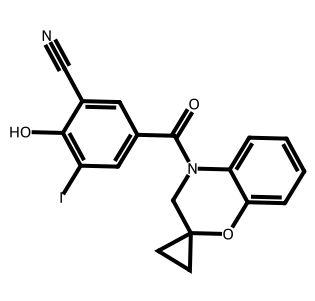 N#Cc1cc(C(=O)N2CC3(CC3)Oc3ccccc32)cc(I)c1O